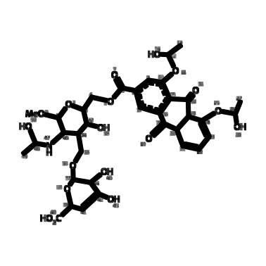 COC1OC(COC(=O)c2cc(OC(C)O)c3c(c2)C(=O)C2C=CC=C(OC(C)O)C2C3=O)C(O)C(COC2OC(C(=O)O)C=C(O)C2O)C1NC(C)O